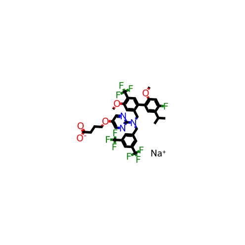 COc1cc(F)c(C(C)C)cc1-c1cc(C(F)(F)F)c(OC)cc1CN(Cc1cc(C(F)(F)F)cc(C(F)(F)F)c1)c1ncc(OCCCC(=O)[O-])cn1.[Na+]